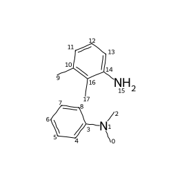 CN(C)c1ccccc1.Cc1cccc(N)c1C